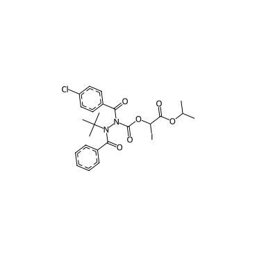 CC(C)OC(=O)C(I)OC(=O)N(C(=O)c1ccc(Cl)cc1)N(C(=O)c1ccccc1)C(C)(C)C